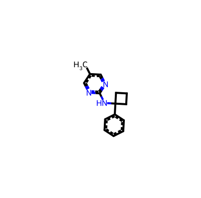 Cc1cnc(NC2(c3ccccc3)CCC2)nc1